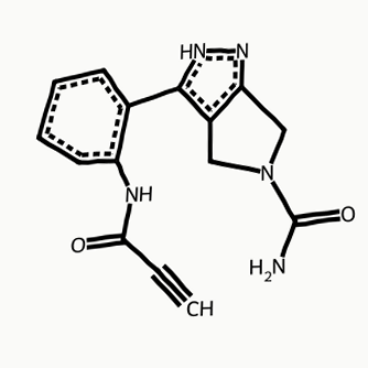 C#CC(=O)Nc1ccccc1-c1[nH]nc2c1CN(C(N)=O)C2